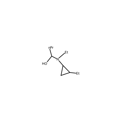 CCCC(O)N(CC)C1CC1CC